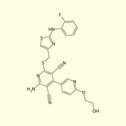 N#Cc1c(N)nc(SCc2csc(Nc3ccccc3F)n2)c(C#N)c1-c1ccc(OCCO)nc1